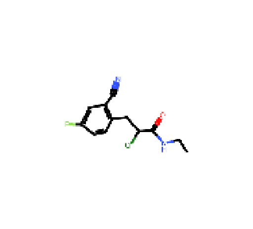 CCNC(=O)C(Cl)Cc1c[c]c(F)cc1C#N